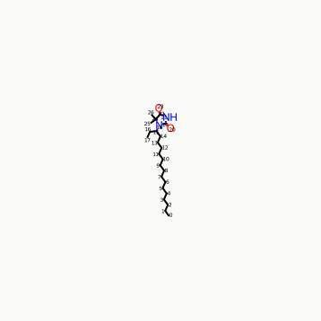 CCCCCCCCCCCCCCCC(CC)N1C(=O)NC(=O)C1(C)C